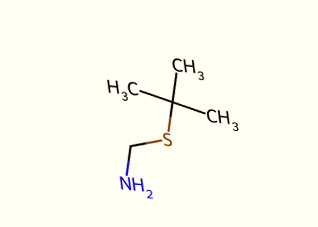 CC(C)(C)SCN